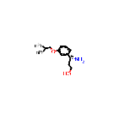 CCCC(CCC)COc1cccc([C@H](N)CCO)c1